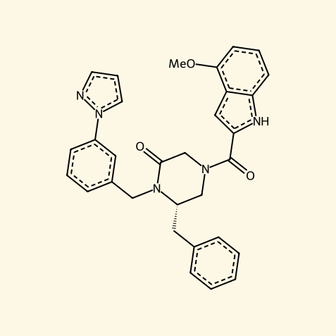 COc1cccc2[nH]c(C(=O)N3CC(=O)N(Cc4cccc(-n5cccn5)c4)[C@@H](Cc4ccccc4)C3)cc12